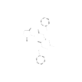 CCC(C)N[C@@H](Cc1ccccc1)C(=O)N[C@@H](Cc1ccccc1)C(=O)ON1C(=O)CCC1=O